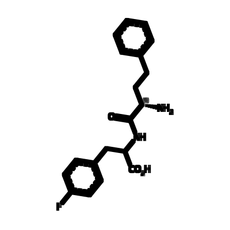 N[C@@H](CCc1ccccc1)C(=O)NC(Cc1ccc(F)cc1)C(=O)O